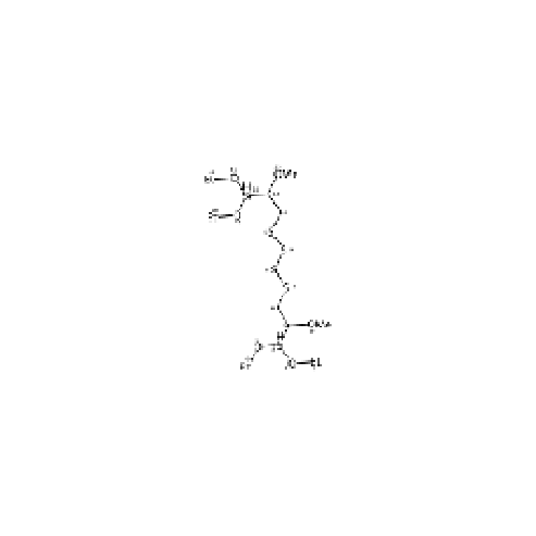 CCO[SiH](OCC)C(CSSSSCC(OC)[SiH](OCC)OCC)OC